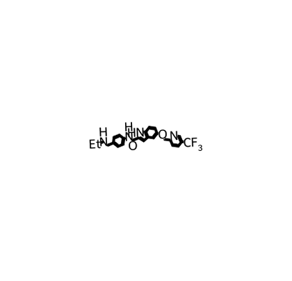 CCNCc1ccc(NC(=O)c2cc3cc(OCc4ccc(C(F)(F)F)cn4)ccc3[nH]2)cc1